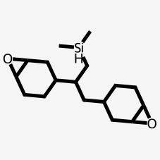 C[SiH](C)CC(CC1CCC2OC2C1)C1CCC2OC2C1